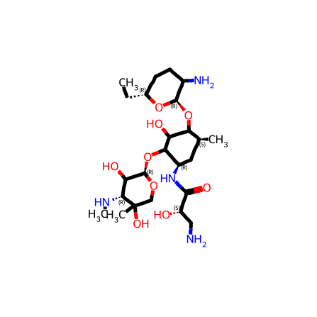 CC[C@@H]1CCC(N)[C@@H](OC2C(O)C(O[C@H]3OCC(C)(O)[C@H](NC)C3O)[C@H](NC(=O)[C@@H](O)CN)C[C@@H]2C)O1